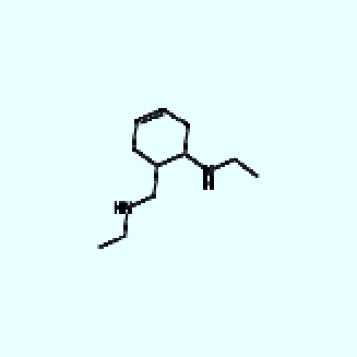 CCNCC1CC=CCC1NCC